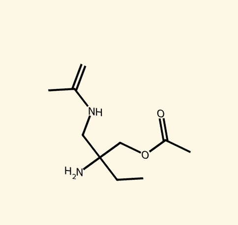 C=C(C)NCC(N)(CC)COC(C)=O